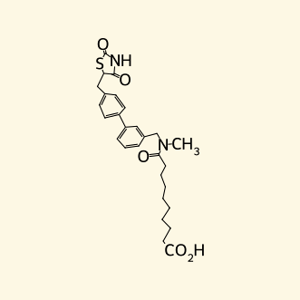 CN(Cc1cccc(-c2ccc(CC3SC(=O)NC3=O)cc2)c1)C(=O)CCCCCCCCC(=O)O